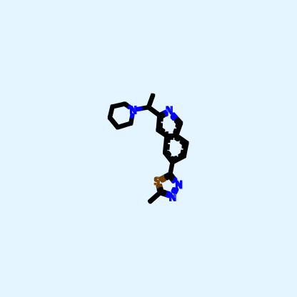 Cc1nnc(-c2ccc3cnc(C(C)N4CCCCC4)cc3c2)s1